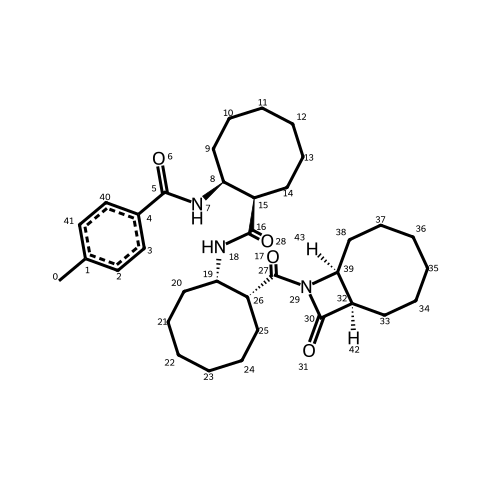 Cc1ccc(C(=O)N[C@H]2CCCCCC[C@H]2C(=O)N[C@H]2CCCCCC[C@H]2C(=O)N2C(=O)[C@@H]3CCCCCC[C@@H]32)cc1